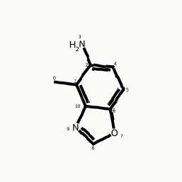 Cc1c(N)ccc2ocnc12